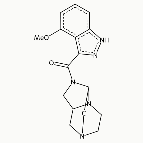 COc1cccc2[nH]nc(C(=O)N3CC4CN5CCN4C3C5)c12